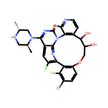 CC(C)c1nccc2c1-n1c(=O)nc(N3C[C@@H](C)NC[C@@H]3C)c3cc(F)c(nc31)-c1c(ccc(Cl)c1F)OCC(O)C2O